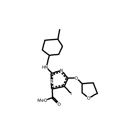 COC(=O)c1nc(NC2CCC(C)CC2)nc(OC2CCOC2)c1I